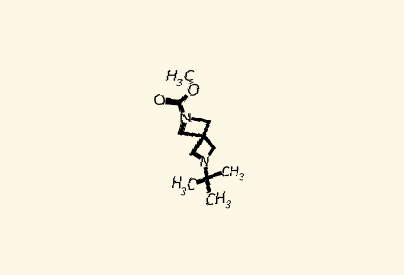 COC(=O)N1CC2(C1)CN(C(C)(C)C)C2